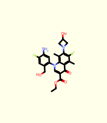 CCOC(=O)c1cn(-c2cc(N)c(F)cc2CO)c2c(C)c(N3CC(O)C3)c(F)c(C)c2c1=O